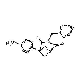 Nc1ccc(C23CC(C2)C(=O)N(Cc2ccccc2)C3=O)cc1